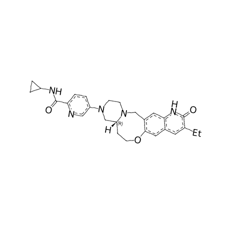 CCc1cc2cc3c(cc2[nH]c1=O)CN1CCN(c2ccc(C(=O)NC4CC4)nc2)C[C@H]1CCO3